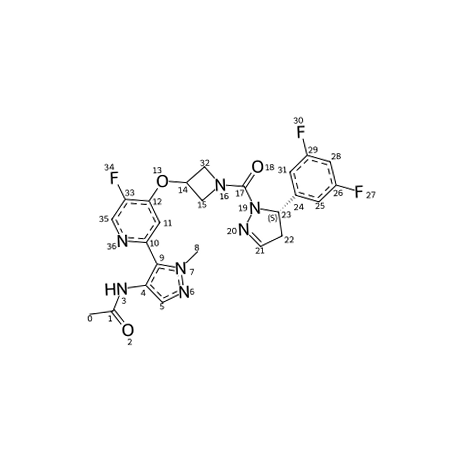 CC(=O)Nc1cnn(C)c1-c1cc(OC2CN(C(=O)N3N=CC[C@H]3c3cc(F)cc(F)c3)C2)c(F)cn1